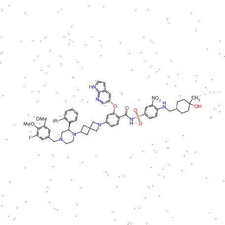 COc1cc(CN2CCN(C3CC4(C3)CN(c3ccc(C(=O)NS(=O)(=O)c5ccc(NCC6CCC(C)(O)CC6)c([N+](=O)[O-])c5)c(Oc5cnc6[nH]ccc6c5)c3)C4)[C@H](c3ccccc3C(C)C)C2)cc(F)c1OC